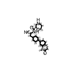 CN1C(=O)CSc2ccc(-c3ccc(CC(C#N)NC(=O)[C@@H]4CNCCCO4)cc3)cc21